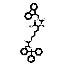 CC(OC(c1ccccc1)(c1ccccc1)c1ccccc1)C(=O)NCCCCC(C(=O)O)N(C)C(=O)OCC1c2ccccc2-c2ccccc21